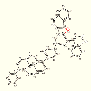 c1ccc(-c2ccc3ccc4c(-c5ccc(-c6cc(-c7cccc8ccccc78)c7oc8c9ccccc9ccc8c7c6)cc5)ccc5ccc2c3c54)cc1